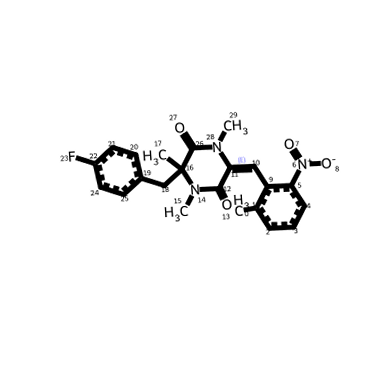 Cc1cccc([N+](=O)[O-])c1/C=C1\C(=O)N(C)C(C)(Cc2ccc(F)cc2)C(=O)N1C